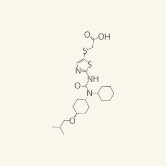 CC(C)CO[C@H]1CC[C@H](N(C(=O)Nc2ncc(SCC(=O)O)s2)C2CCCCC2)CC1